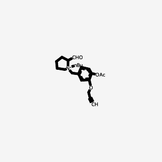 C#CCOc1cc(C[N+]2(CCCC)CCCCC2C=O)ccc1OC(C)=O